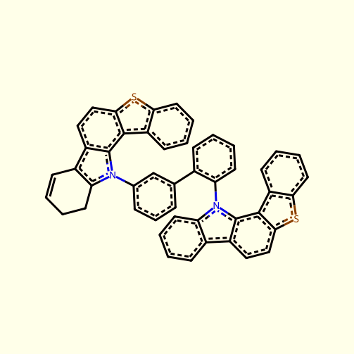 C1=Cc2c(n(-c3cccc(-c4ccccc4-n4c5ccccc5c5ccc6sc7ccccc7c6c54)c3)c3c2ccc2sc4ccccc4c23)CC1